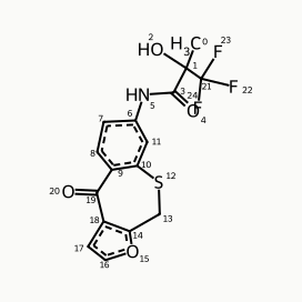 CC(O)(C(=O)Nc1ccc2c(c1)SCc1occc1C2=O)C(F)(F)F